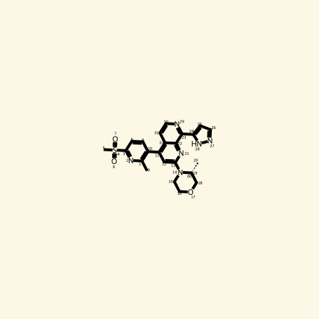 Cc1nc(S(C)(=O)=O)ccc1-c1cc(N2CCOC[C@H]2C)nc2c(-c3ccn[nH]3)nccc12